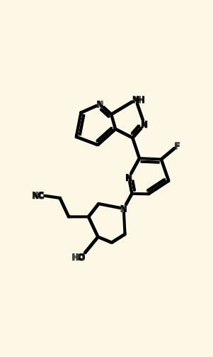 N#CCCC1CN(c2ccc(F)c(-c3n[nH]c4ncccc34)n2)CCC1O